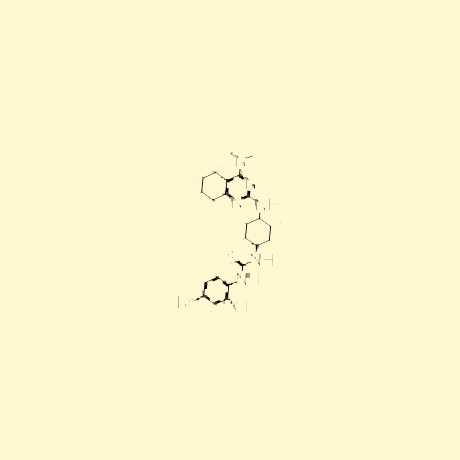 CN(C)c1nc(NC2CCC(NC(=S)Nc3ccc(Br)cc3Cl)CC2)nc2c1CCCC2